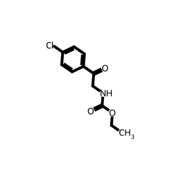 CCOC(=O)NCC(=O)c1ccc(Cl)cc1